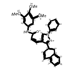 COc1cc(NC(=O)/C=C\c2cn(-c3ccccc3)nc2-c2ccc3ccccc3c2)cc(OC)c1OC